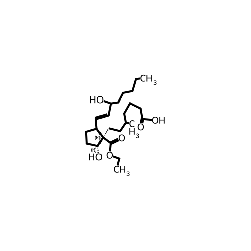 CCCCCC(O)C=CC1CC[C@@H](O)[C@]1(CCC(C)CCCC(=O)O)C(=O)OCC